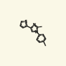 Cc1ccc(-n2cc(-c3cccs3)nc2C)cc1